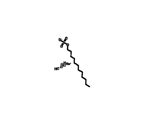 CCCCCCCCCCCCOS(=O)(=O)[O-].Cl.Cl.Cl.[Na+]